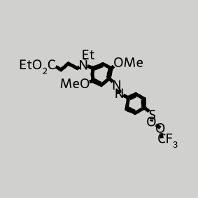 CCOC(=O)CCCN(CC)c1cc(OC)c(N=Nc2ccc(SOOC(F)(F)F)cc2)cc1OC